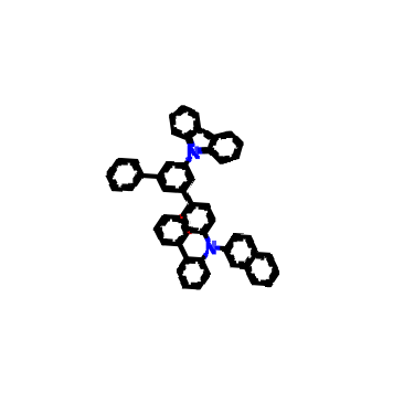 c1ccc(-c2cc(-c3ccc(N(c4ccc5ccccc5c4)c4ccccc4-c4ccccc4)cc3)cc(-n3c4ccccc4c4ccccc43)c2)cc1